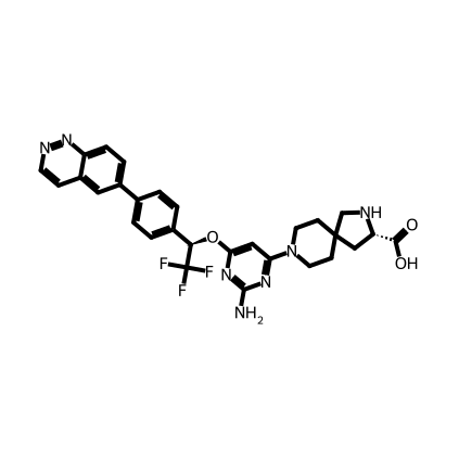 Nc1nc(O[C@H](c2ccc(-c3ccc4nnccc4c3)cc2)C(F)(F)F)cc(N2CCC3(CC2)CN[C@H](C(=O)O)C3)n1